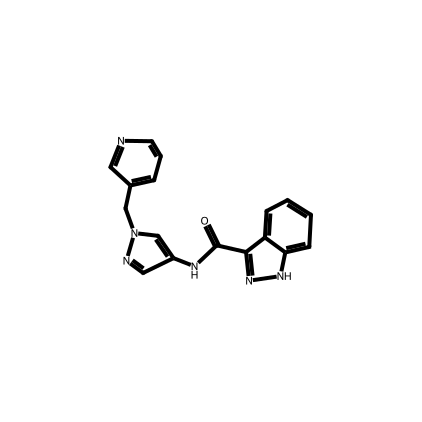 O=C(Nc1cnn(Cc2cccnc2)c1)c1n[nH]c2ccccc12